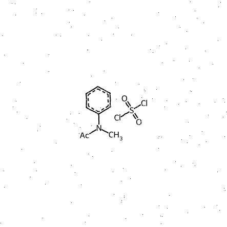 CC(=O)N(C)c1ccccc1.O=S(=O)(Cl)Cl